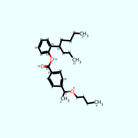 CCCCOC(C)c1ccc(C(=O)Oc2ccccc2C(CCC)CCCC)cc1